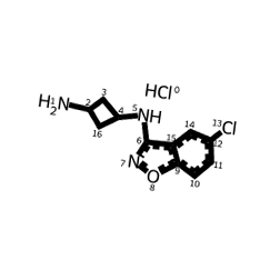 Cl.NC1CC(Nc2noc3ccc(Cl)cc23)C1